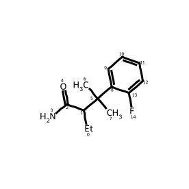 CCC(C(N)=O)C(C)(C)c1ccccc1F